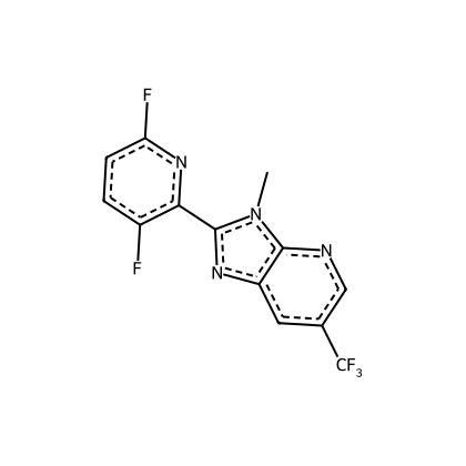 Cn1c(-c2nc(F)ccc2F)nc2cc(C(F)(F)F)cnc21